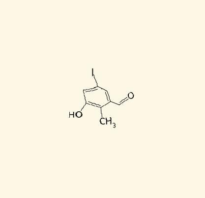 Cc1c(O)cc(I)cc1C=O